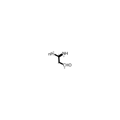 CCCC(=N)CC=O